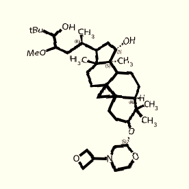 COC(C[C@@H](C)C1C[C@H](O)[C@@]2(C)C3CC[C@H]4C(C)(C)C(O[C@H]5CN(C6COC6)CCO5)CCC45CC35CCC12C)C(O)C(C)(C)C